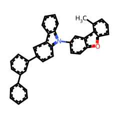 Cc1cccc2oc3ccc(-n4c5ccccc5c5cc(-c6cccc(-c7ccccc7)c6)ccc54)cc3c12